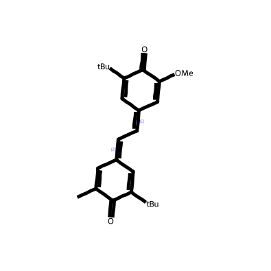 COC1=C/C(=C/C=C2/C=C(C)C(=O)C(C(C)(C)C)=C2)C=C(C(C)(C)C)C1=O